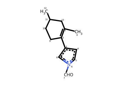 CC1=C(c2ccn(C=O)c2)CCC(C)C1